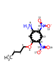 CCCCOc1cc(N)c([N+](=O)[O-])cc1[N+](=O)[O-]